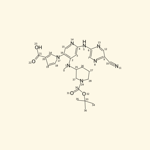 CN(c1cc(Nc2cnc(C#N)cn2)ncc1-n1ccc(C(=O)O)c1)C1CCCN(C(=O)OC(C)(C)C)C1